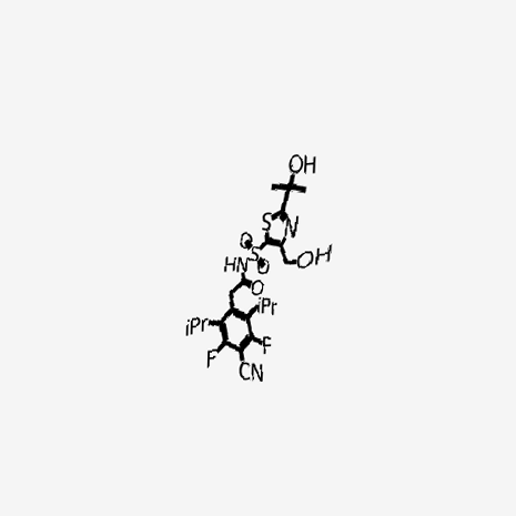 CC(C)c1c(F)c(C#N)c(F)c(C(C)C)c1CC(=O)NS(=O)(=O)c1sc(C(C)(C)O)nc1CO